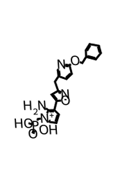 Nc1c(-c2cc(Cc3ccc(OCc4ccccc4)nc3)no2)ccc[n+]1CP(=O)(O)O